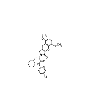 COc1ccc(OC)c2c1CC1=C(O2)C(=O)N([C@@H](CC2CCCCC2)C(=O)Nc2ccc(Cl)cn2)C1